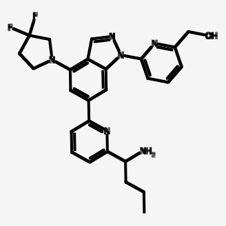 CCCC(N)c1cccc(-c2cc(N3CCC(F)(F)C3)c3cnn(-c4cccc(CO)n4)c3c2)n1